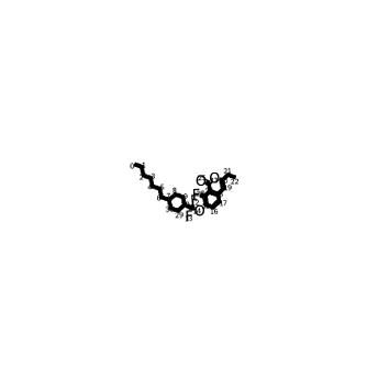 CCCCCCCC1CCC(C(F)(F)Oc2ccc3cc(CC)oc(=O)c3c2F)CC1